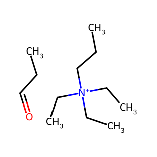 CCC=O.CCC[N+](CC)(CC)CC